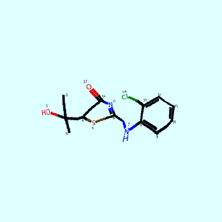 CC(C)(O)C1SC(Nc2ccccc2Cl)=NC1=O